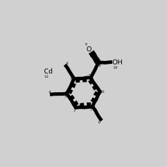 Cc1cc(C)c(C)c(C(=O)O)c1.[Cd]